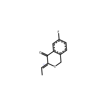 C/C=C1\SCc2ccc(F)cc2C1=O